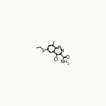 CCSc1cc(C)c2nnc(C(N)=O)c(Cl)c2c1